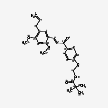 C=CCc1cc(C=CC(=O)c2ccc(OCOC(=O)C(C)(C)C)cc2)c(OC)cc1OC